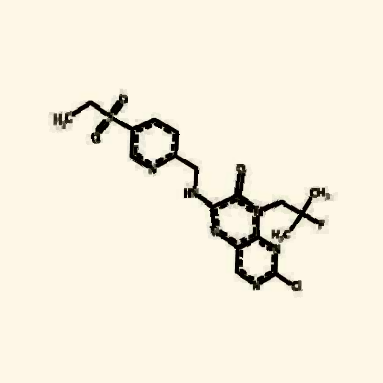 CCS(=O)(=O)c1ccc(CNc2nc3cnc(Cl)nc3n(CC(C)(C)F)c2=O)nc1